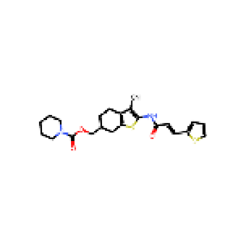 N#Cc1c(NC(=O)C=Cc2cccs2)sc2c1CCC(COC(=O)N1CCCCC1)C2